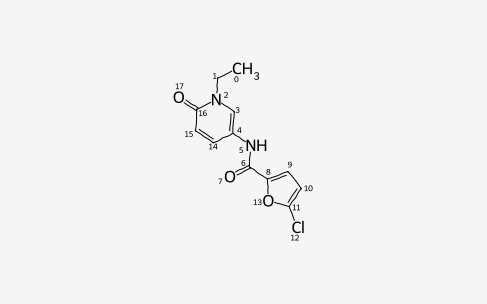 CCn1cc(NC(=O)c2ccc(Cl)o2)ccc1=O